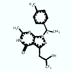 Cc1nc2c(c(CC(O)C(F)(F)F)nn2[C@H](C)c2ccc(C(F)(F)F)cc2)c(=O)[nH]1